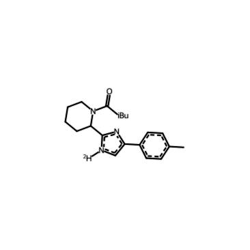 [2H]n1cc(-c2ccc(C)cc2)nc1C1CCCCN1C(=O)C(C)CC